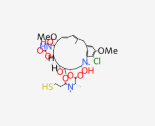 COc1cc2cc(c1Cl)N(C)C(O)C[C@H](OC(=O)[C@H](C)N(C)C(=O)CCS)C1(C)O[C@H]1[C@H](C)[C@@H]1C[C@@](O)(NC(=O)O1)[C@H](OC)/C=C/C=C(\C)C2